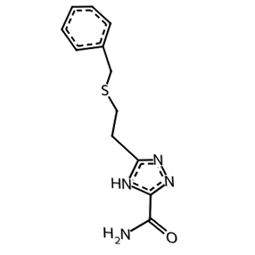 NC(=O)c1nnc(CCSCc2ccccc2)[nH]1